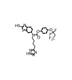 O=C(Oc1ccc(OC(F)(F)CC(F)(F)F)cc1)N(CCCCc1nn[nH]n1)c1ccc2nc(S)sc2c1